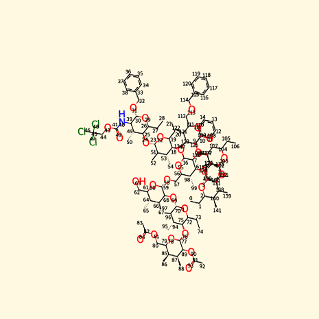 CCC1O[C@@H](O[C@@H]2C(OCc3ccccc3)[C@H](O[C@@H]3C(CC)O[C@@H](O[C@@H]4C(CC)O[C@@H](OCc5ccccc5)C(NC(=O)OCC(Cl)(Cl)Cl)[C@H]4C)C(C)[C@H]3C)OC(CO[C@H]3OC(CO)[C@@H](C)[C@H](C)C3O[C@@H]3OC(CC)[C@@H](O[C@@H]4OC(COC(C)=O)[C@H](C)[C@H](C)C4OC(C)=O)[C@H](C)C3C)[C@H]2C)[C@@H](O[C@@H]2OC(CC)[C@@H](O[C@@H]3OC(COCc4ccccc4)[C@H](C)[C@H](C)C3OCc3ccccc3)[C@H](C)C2C)C(C)[C@H]1C